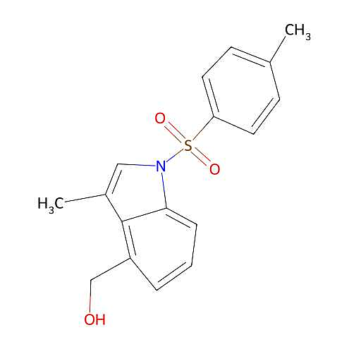 Cc1ccc(S(=O)(=O)n2cc(C)c3c(CO)cccc32)cc1